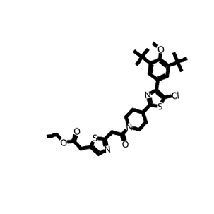 CCOC(=O)Cc1cnc(CC(=O)N2CCC(c3nc(-c4cc(C(C)(C)C)c(OC)c(C(C)(C)C)c4)c(Cl)s3)CC2)s1